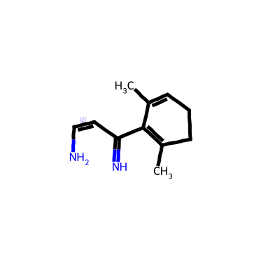 CC1=CCCC(C)=C1C(=N)/C=C\N